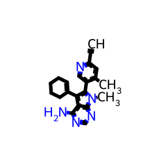 C#Cc1cc(C)c(-c2c(C3=CCCCC3)c3c(N)ncnc3n2C)cn1